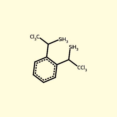 [SiH3]C(c1ccccc1C([SiH3])C(Cl)(Cl)Cl)C(Cl)(Cl)Cl